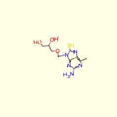 Cc1nc(N)nc2c1nc(S)n2COCC(O)CO